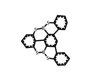 c1ccc2c(c1)SB1Sc3cccc4c3-c3c1c-2cc1c3B(Sc2ccccc2-1)S4